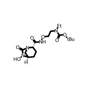 CCN(CCONC(=O)[C@@H]1CC[C@@H]2CN1C(=O)N2O)C(=O)OC(C)(C)C